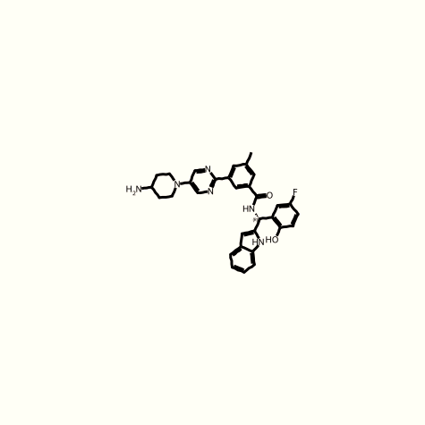 Cc1cc(C(=O)N[C@@H](c2cc3ccccc3[nH]2)c2cc(F)ccc2O)cc(-c2ncc(N3CCC(N)CC3)cn2)c1